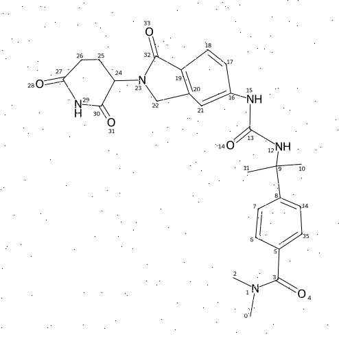 CN(C)C(=O)c1ccc(C(C)(C)NC(=O)Nc2ccc3c(c2)CN(C2CCC(=O)NC2=O)C3=O)cc1